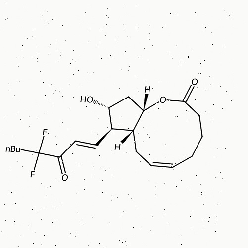 CCCCC(F)(F)C(=O)/C=C/[C@@H]1[C@H]2C/C=C\CCCC(=O)O[C@H]2C[C@H]1O